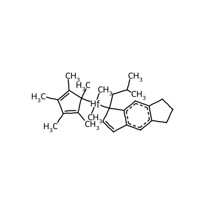 CC1=C(C)[C](C)([Hf]([CH3])([CH3])[C]2(CC(C)C)C=Cc3cc4c(cc32)CCC4)C(C)=C1C